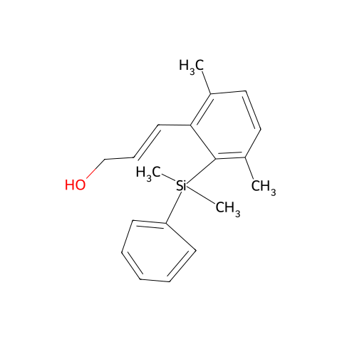 Cc1ccc(C)c([Si](C)(C)c2ccccc2)c1C=CCO